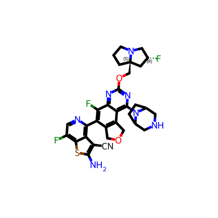 N#Cc1c(N)sc2c(F)cnc(-c3c4c(c5c(N6C7CCC6CNC7)nc(OC[C@@]67CCCN6C[C@H](F)C7)nc5c3F)COC4)c12